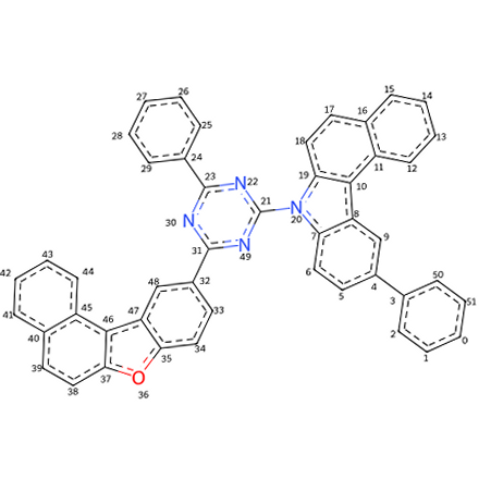 c1ccc(-c2ccc3c(c2)c2c4ccccc4ccc2n3-c2nc(-c3ccccc3)nc(-c3ccc4oc5ccc6ccccc6c5c4c3)n2)cc1